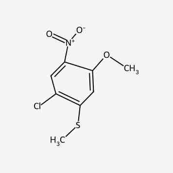 COc1cc(SC)c(Cl)cc1[N+](=O)[O-]